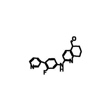 O=CC1CCCc2nc(Nc3ccc(-c4cccnc4)c(F)c3)ccc21